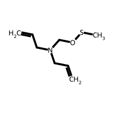 C=CCN(CC=C)COSC